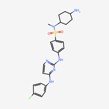 CN(C1CCC(N)CC1)S(=O)(=O)c1ccc(Nc2nccc(Nc3ccc(F)cc3)n2)cc1